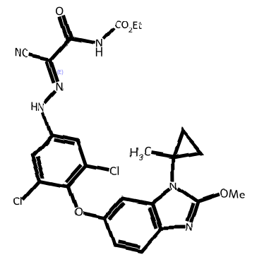 CCOC(=O)NC(=O)/C(C#N)=N/Nc1cc(Cl)c(Oc2ccc3nc(OC)n(C4(C)CC4)c3c2)c(Cl)c1